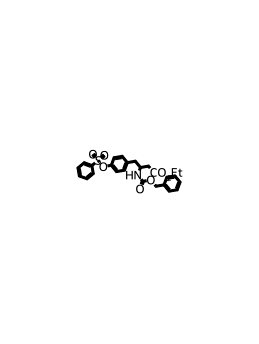 CCOC(=O)CC(Cc1ccc(OS(=O)(=O)c2ccccc2)cc1)NC(=O)OCc1ccccc1